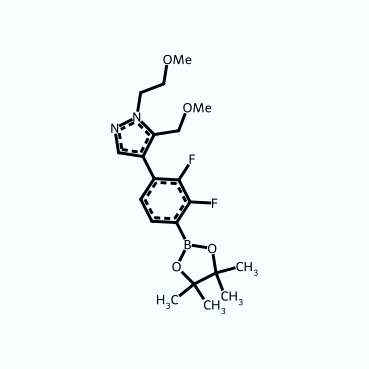 COCCn1ncc(-c2ccc(B3OC(C)(C)C(C)(C)O3)c(F)c2F)c1COC